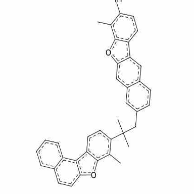 Cc1c(C(C)C)ccc2c1oc1cc3cc(CC(C)(C)c4ccc5c(oc6ccc7ccccc7c65)c4C)ccc3cc12